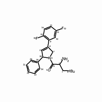 CC(C)(C)CC(N)C(=O)N1CC(c2cc(F)ccc2F)=CC1c1ccccc1